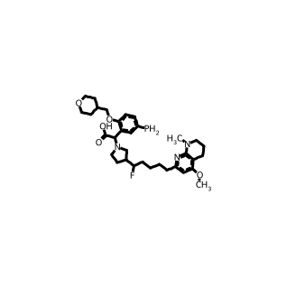 COc1cc(CCCCC(F)C2CCN(C(C(=O)O)c3cc(P)ccc3OCC3CCOCC3)C2)nc2c1CCCN2C